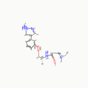 Cc1n[nH]cc1-c1c[c]cc(OC[C@@H](C)NC(=O)CN(C)C)c1